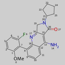 COc1cccc(F)c1-c1cccc2c(N)c3c(nc12)CN(C1CCCC1)C3=O